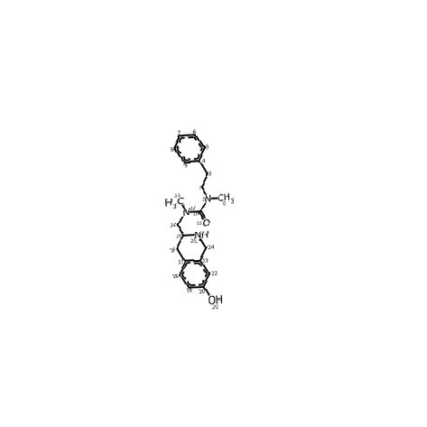 CN(CCc1ccccc1)C(=O)N(C)CC1Cc2ccc(O)cc2CN1